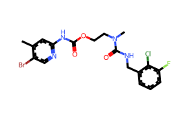 Cc1cc(NC(=O)OCCN(C)C(=O)NCc2cccc(F)c2Cl)ncc1Br